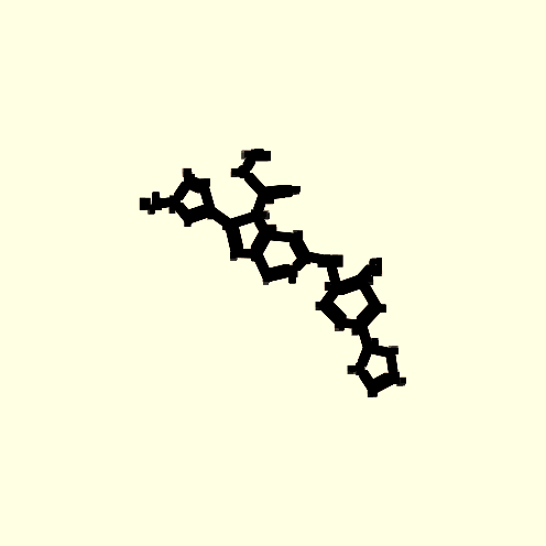 Cn1cc(-c2cc3cnc(Nc4ccc(C5CN=CS5)cc4Cl)cc3n2C(=O)OC(C)(C)C)cn1